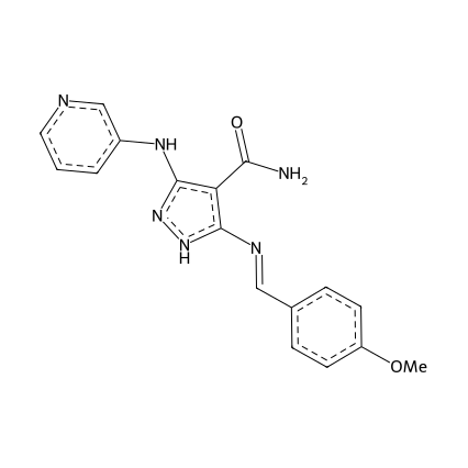 COc1ccc(/C=N/c2[nH]nc(Nc3cccnc3)c2C(N)=O)cc1